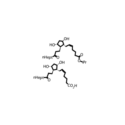 CCCCCCCC(=O)CC[C@@H]1[C@@H](C/C=C\CCCC(=O)O)[C@@H](O)C[C@H]1O.CCCCCCCC(=O)CC[C@@H]1[C@@H](C/C=C\CCCC(=O)OC(C)C)[C@@H](O)C[C@H]1O